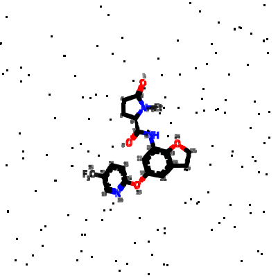 CCN1C(=O)CC[C@@H]1C(=O)Nc1cc(Oc2ccc(C(F)(F)F)cn2)cc2c1OCC2